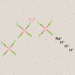 F[B-](F)(F)F.F[B-](F)(F)F.F[B-](F)(F)F.[BH4-].[H+].[H+].[H+].[Na+]